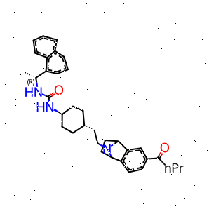 CCCC(=O)c1ccc2c(c1)C1CCC2N1CC[C@H]1CC[C@H](NC(=O)N[C@H](C)c2cccc3ccccc23)CC1